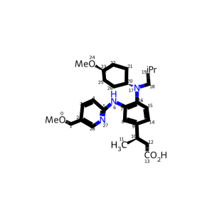 COCc1ccc(Nc2cc([C@H](C)CC(=O)O)ccc2N(CC(C)C)[C@H]2CC[C@H](OC)CC2)nc1